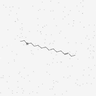 CCC=CCCCCCCCCC[N]CC